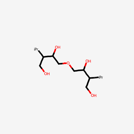 CC(C)C(CO)C(O)COCC(O)C(CO)C(C)C